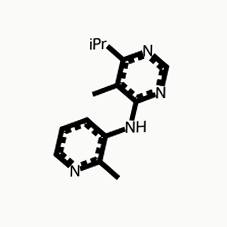 Cc1ncccc1Nc1ncnc(C(C)C)c1C